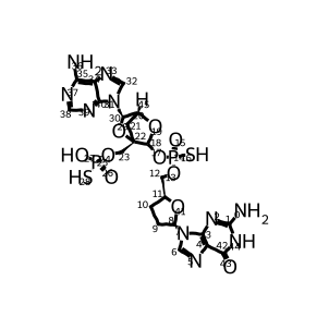 Nc1nc2c(ncn2[C@H]2CC[C@@H](COP(=O)(S)OC3O[C@@H]4C[C@@]3(COP(=O)(O)S)O[C@H]4n3cnc4c(N)ncnc43)O2)c(=O)[nH]1